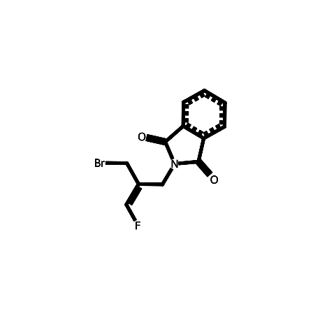 O=C1c2ccccc2C(=O)N1C/C(=C\F)CBr